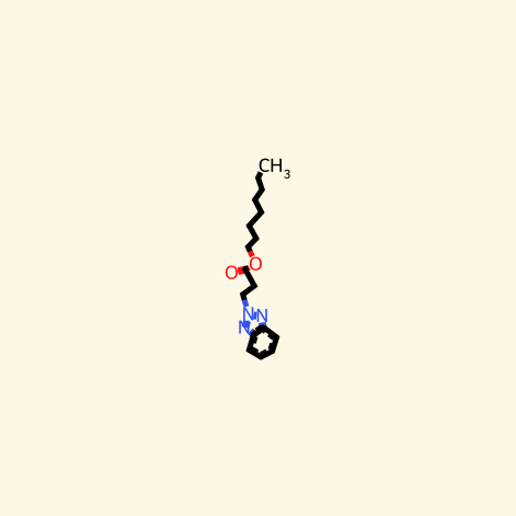 CCCCCCCCOC(=O)CCn1nc2ccccc2n1